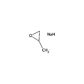 [CH2]C1CO1.[NaH]